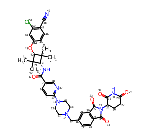 CC1(C)[C@H](NC(=O)c2ccc(N3CCN(Cc4ccc5c(c4)C(=O)N(C4CCC(=O)NC4=O)C5=O)CC3)nc2)C(C)(C)[C@H]1Oc1ccc(C#N)c(Cl)c1